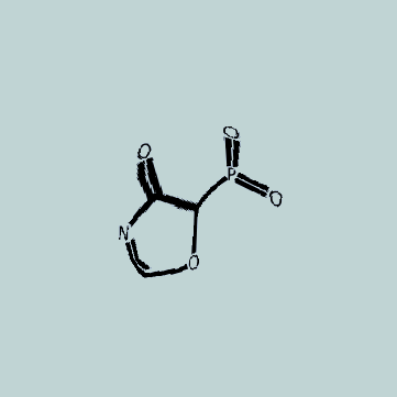 O=C1N=COC1P(=O)=O